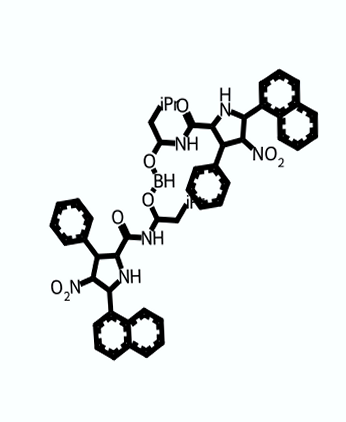 CC(C)CC(NC(=O)C1NC(c2cccc3ccccc23)C([N+](=O)[O-])C1c1ccccc1)OBOC(CC(C)C)NC(=O)C1NC(c2cccc3ccccc23)C([N+](=O)[O-])C1c1ccccc1